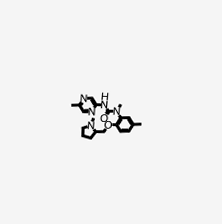 Cc1ccc(OCC2CCCN2C)c(N(C)C(=O)Nc2cnc(C)cn2)c1